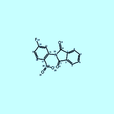 O=C1c2ccccc2C(=O)N1c1cc(F)ccc1[N+](=O)[O-]